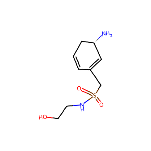 N[C@@H]1C=C(CS(=O)(=O)NCCO)C=CC1